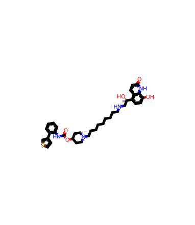 O=C(Nc1ccccc1-c1ccsc1)OC1CCN(CCCCCCCCCNC[C@H](O)c2ccc(O)c3[nH]c(=O)ccc23)CC1